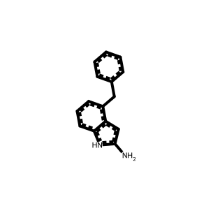 Nc1cc2c(Cc3ccccc3)cccc2[nH]1